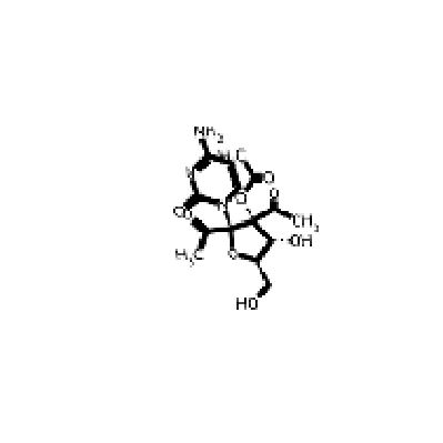 CC(=O)O[C@]1(C(C)=O)[C@H](O)[C@@H](CO)O[C@@]1(C(C)=O)n1ccc(N)nc1=O